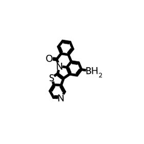 Bc1cc2c3ccccc3c(=O)n3c4sc5ccncc5c4c(c1)c23